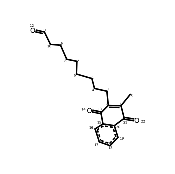 CC1=C(CCCCCCCCC=O)C(=O)c2ccccc2C1=O